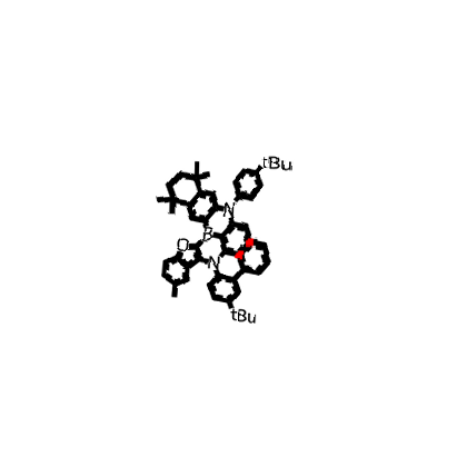 Cc1cc2c3c(c1)N(c1ccc(C(C)(C)C)cc1-c1ccccc1)c1c(oc4ccc(C)cc14)B3c1cc3c(cc1N2c1ccc(C(C)(C)C)cc1)C(C)(C)CCC3(C)C